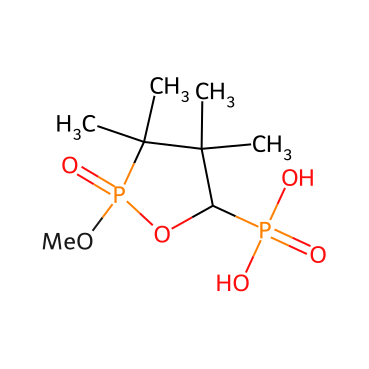 COP1(=O)OC(P(=O)(O)O)C(C)(C)C1(C)C